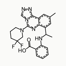 Cc1cc(C(C)Nc2ccccc2C(=O)O)c2nc(N3CCCC(F)(F)C3)n3cnnc3c2c1